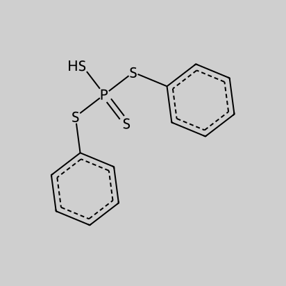 S=P(S)(Sc1ccccc1)Sc1ccccc1